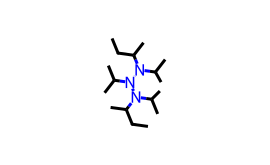 CCC(C)N(C(C)C)N(C(C)C)N(C(C)C)C(C)CC